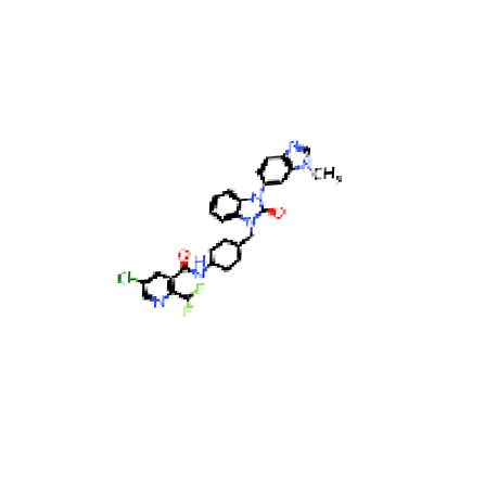 Cn1cnc2ccc(-n3c(=O)n(CC4CCC(NC(=O)c5cc(Cl)cnc5C(F)F)CC4)c4ccccc43)cc21